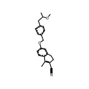 COC(C)Cc1ccc(COc2ccc3c(c2)CCC(C#N)=C3C)cc1